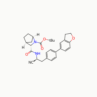 CC(C)(C)OC(=O)N1[C@@H]2CC[C@@H](C2)[C@H]1C(=O)N[C@H](C#N)Cc1ccc(-c2ccc3c(c2)CCO3)cc1